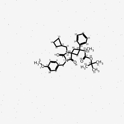 COc1ccc(CN2C(=O)N(CC3CCC3)C3(CC(c4ccccc4)(N(C)C(=O)OC(C)(C)C)C3)C2=O)cc1